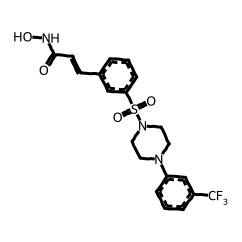 O=C(/C=C/c1cccc(S(=O)(=O)N2CCN(c3cccc(C(F)(F)F)c3)CC2)c1)NO